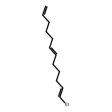 C=CCCCC=CCCCC=CCC